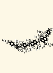 Nc1c(N=Nc2ccc3c(O)c(N=Nc4cc(Cl)c(N=Nc5c(C(=O)O)nn(-c6ccc(S(=O)(=O)O)cc6)c5O)c(S(=O)(=O)O)c4)c(S(=O)(=O)O)cc3c2S(=O)(=O)O)cc(S(=O)(=O)O)c2ccc(N=Nc3ccc([N+](=O)[O-])cc3S(=O)(=O)O)c(O)c12